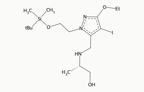 CCOc1nn(CCO[Si](C)(C)C(C)(C)C)c(CN[C@@H](C)CO)c1I